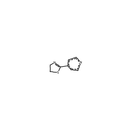 [CH]1CSC(c2ccncc2)=N1